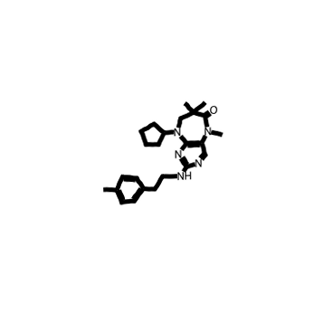 Cc1ccc(CCNc2ncc3c(n2)N(C2CCCC2)CC(C)(C)C(=O)N3C)cc1